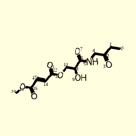 CCC(=O)CNC(=O)C(O)COC(=O)/C=C/C(=O)OC